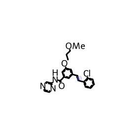 COCCCOc1cc(/C=C/c2ccccc2Cl)cc(C(=O)Nc2cnccn2)c1